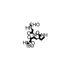 CC(C)(C)NC(=O)C(=O)C(C[C@@H]1CCNC1=O)NC(=O)CNC=O